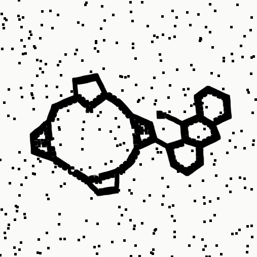 Brc1c2ccccc2cc2cccc(-c3cc4cc5nc(cc6ccc(cc7nc(cc3[nH]4)C=C7)[nH]6)C=C5)c12